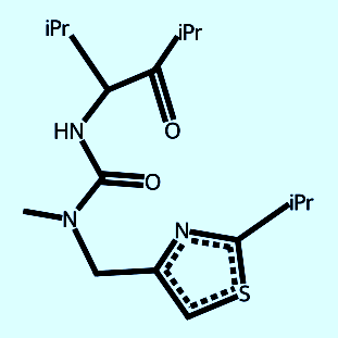 CC(C)C(=O)C(NC(=O)N(C)Cc1csc(C(C)C)n1)C(C)C